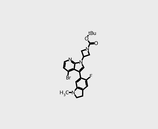 CN1CCc2cc(F)c(-c3cn(C4CN(C(=O)OC(C)(C)C)C4)c4nccc(Br)c34)cc21